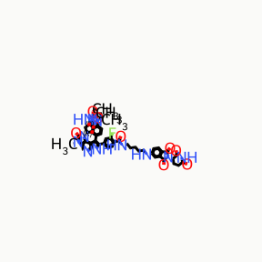 COC(=O)N[C@@H]1CC[C@@H](n2c(=O)n(C)c3cnc4[nH]c(-c5ccc(C(=O)NCCCCCNc6ccc7c(c6)C(=O)N(C6CCC(=O)NC6=O)C7=O)c(F)c5)c(-c5ccc6c(cnn6C(C)C)c5)c4c32)C1